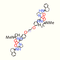 CN[C@@H](C)C(=O)N[C@@H](Cc1ccc(OC/C=C/COc2ccc(C[C@H](NC(=O)[C@H](C)NC)C(=O)N3CCC[C@H]3C(=O)N[C@@H]3CCCc4ccccc43)cc2)cc1)C(=O)N1CCCC1C(=O)N[C@@H]1CCCc2ccccc21